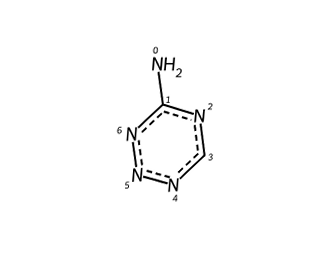 Nc1ncnnn1